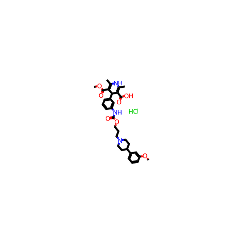 COC(=O)C1=C(C)NC(C)=C(C(=O)O)C1c1cccc(NC(=O)OCCCN2CCC(c3cccc(OC)c3)CC2)c1.Cl